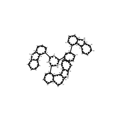 c1cc(-c2nc(-c3cccc4sc5ccccc5c34)nc(-c3cccc4ccc5oc6ccccc6c5c34)n2)cc(-c2cccc3oc4ccccc4c23)c1